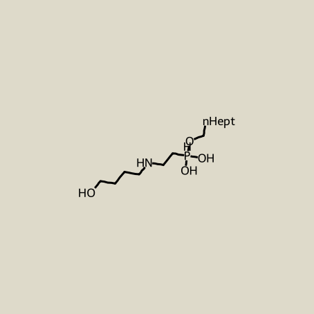 CCCCCCCCO[PH](O)(O)CCNCCCCO